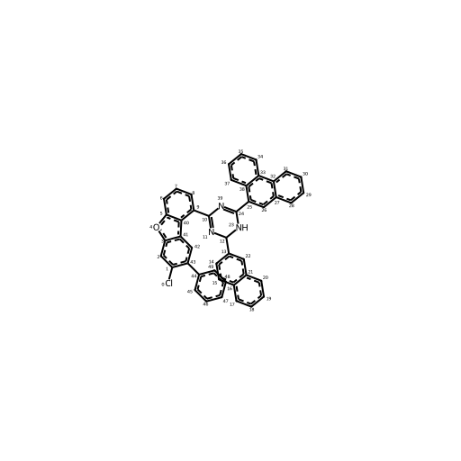 Clc1cc2oc3cccc(C4=NC(c5ccc6ccccc6c5)NC(c5cc6ccccc6c6ccccc56)=N4)c3c2cc1-c1ccccc1